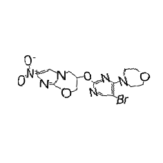 O=[N+]([O-])c1cn2c(n1)OCC(Oc1ncc(Br)c(N3CCOCC3)n1)C2